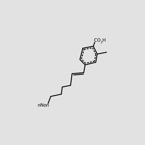 CCCCCCCCCCCCCC=Cc1ccc(C(=O)O)c(C)c1